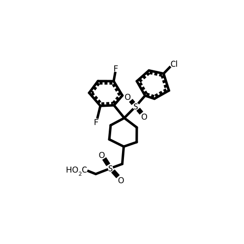 O=C(O)CS(=O)(=O)CC1CCC(c2cc(F)ccc2F)(S(=O)(=O)c2ccc(Cl)cc2)CC1